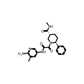 CNC(=O)[C@@H]1CC[C@@H](c2ccccc2)N(C(=O)C(=O)Nc2cnc(N)c(C)c2)C1